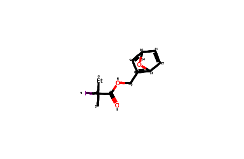 CCC(C)(I)C(=O)OCc1cc2ccc1o2